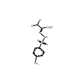 CCOC(=O)/C(=N\NS(=O)(=O)c1ccc(C)cc1)C(Cl)Cl